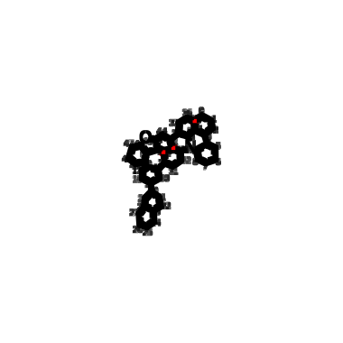 c1ccc(-c2ccccc2N(c2ccc(-c3cccc(-c4ccc5ccccc5c4)c3)cc2)c2ccccc2-c2ccc3c(c2)oc2ccccc23)cc1